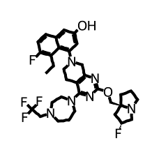 CCc1c(F)ccc2cc(O)cc(N3CCc4c(nc(OC[C@@]56CCCN5C[C@H](F)C6)nc4N4CCCN(CC(F)(F)F)CC4)C3)c12